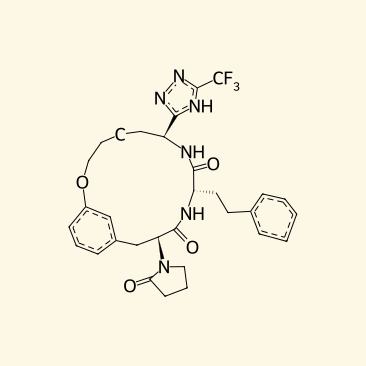 O=C1N[C@H](c2nnc(C(F)(F)F)[nH]2)CCCCOc2cccc(c2)C[C@H](N2CCCC2=O)C(=O)N[C@H]1CCc1ccccc1